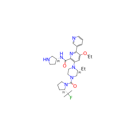 CCOc1cc(N2CCN(C(=O)N3CCC[C@H]3C(C)(C)F)C[C@H]2CC)c(C(=O)N[C@@H]2CCNC2)nc1-c1cccnc1